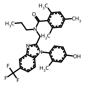 CCCN(Cc1nc2cc(C(F)(F)F)ccc2n1-c1ccc(O)cc1C)C(=O)c1c(C)cc(C)cc1C